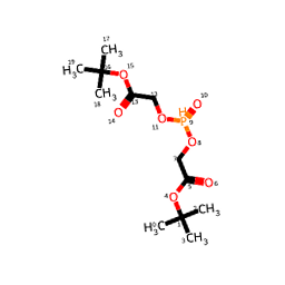 CC(C)(C)OC(=O)CO[PH](=O)OCC(=O)OC(C)(C)C